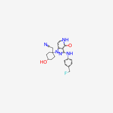 N#CCC1(n2nc(Nc3ccc(CF)cc3)c3c(=O)[nH]ccc32)CCC(O)CC1